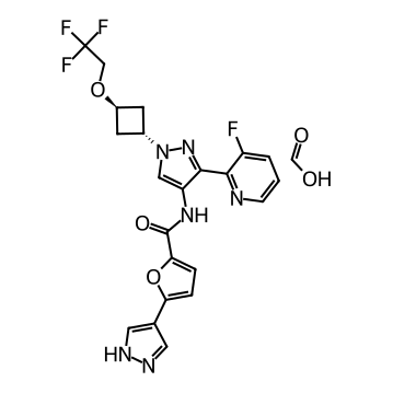 O=C(Nc1cn([C@H]2C[C@H](OCC(F)(F)F)C2)nc1-c1ncccc1F)c1ccc(-c2cn[nH]c2)o1.O=CO